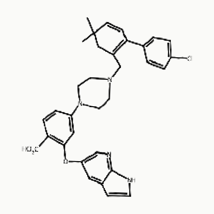 CC1(C)C=CC(c2ccc(Cl)cc2)=C(CN2CCN(c3ccc(C(=O)O)c(Oc4cnc5[nH]ccc5c4)c3)CC2)C1